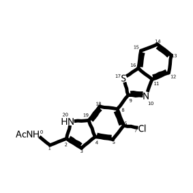 CC(=O)NCc1cc2cc(Cl)c(-c3nc4ccccc4s3)cc2[nH]1